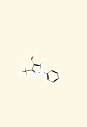 O=Cc1c(C(F)(F)F)nn(-c2ccccc2)c1F